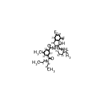 CCCN(CCC)C(=O)c1cc(C)cc(C(=O)N[C@@H](Cc2cc(F)cc(F)c2)[C@H](O)[C@H]2CCC[C@H](C)N2)c1